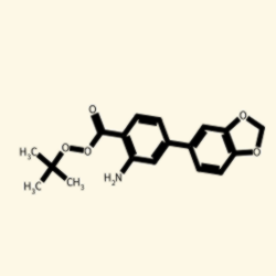 CC(C)(C)OOC(=O)c1ccc(-c2ccc3c(c2)OCO3)cc1N